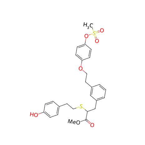 COC(=O)C(Cc1cccc(CCOc2ccc(OS(C)(=O)=O)cc2)c1)SCCc1ccc(O)cc1